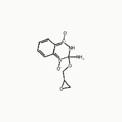 NC1(OCC2CO2)N[N+]([O-])=c2ccccc2=[N+]1[O-]